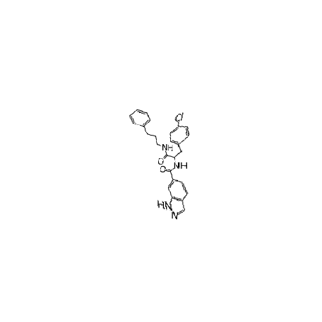 O=C(NC(Cc1ccc(Cl)cc1)C(=O)NCCCc1ccccc1)c1ccc2cn[nH]c2c1